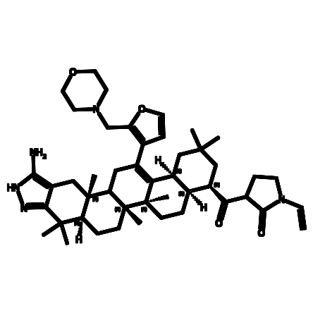 C=CN1CCC(C(=O)[C@@H]2CC(C)(C)C[C@@H]3C4=C(c5ccoc5CN5CCOCC5)CC5[C@@]6(C)Cc7c(n[nH]c7N)C(C)(C)[C@@H]6CC[C@@]5(C)[C@]4(C)CC[C@@H]32)C1=O